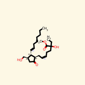 CCCCCC/C=C/[C@H]1[C@H](CO)CC(=O)[C@@H]1C/C=C\CCC(O)(CC)C(=O)OC